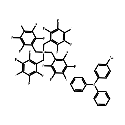 CC(=O)c1ccc([S+](c2ccccc2)c2ccccc2)cc1.Fc1c(F)c(F)c(C[B-](Cc2c(F)c(F)c(F)c(F)c2F)(Cc2c(F)c(F)c(F)c(F)c2F)Cc2c(F)c(F)c(F)c(F)c2F)c(F)c1F